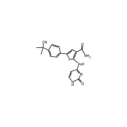 CC(C)(C#N)c1ccc(-c2cc(C(N)=O)c([AsH]c3cc[nH]c(=O)n3)s2)cc1